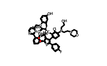 COC(=O)[C@@H](Cc1cc(O)ccc1OCc1ccnc(-c2ccccc2OC)n1)Oc1ncnc2sc(-c3ccc(F)cc3)c(-c3ccc(N(CCO)CCN4CCOCC4)c(Cl)c3C)c12